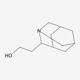 OCCC1C2CC3CC(C2)CN1C3